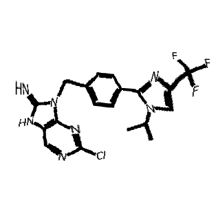 CC(C)n1cc(C(F)(F)F)nc1-c1ccc(Cn2c(=N)[nH]c3cnc(Cl)nc32)cc1